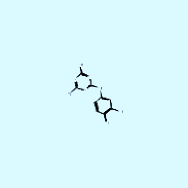 Nc1nc(N)nc(Nc2ccc(O)c(O)c2)n1